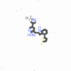 Cn1cc(-c2cnc3[nH]nc(-c4cc5c(-c6ccc(F)s6)cccc5[nH]4)c3c2)cn1